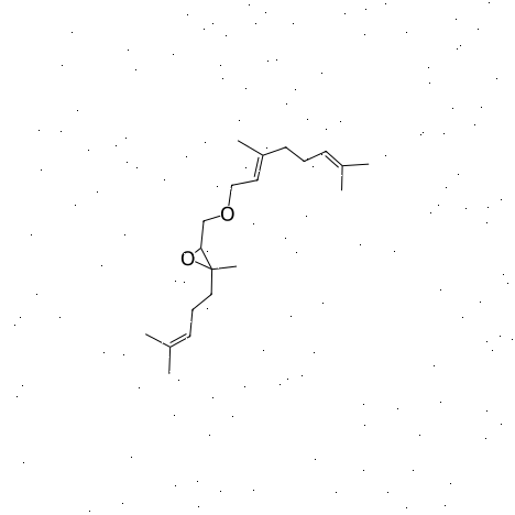 CC(C)=CCC/C(C)=C/COCC1OC1(C)CCC=C(C)C